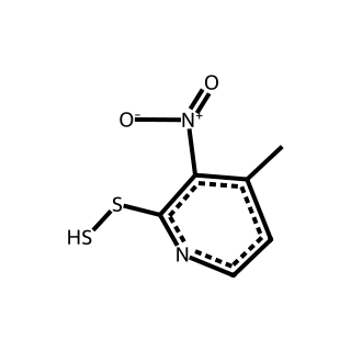 Cc1ccnc(SS)c1[N+](=O)[O-]